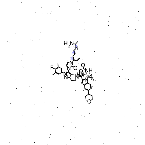 C=C\C(=C/C=C/N=C(/C)N)n1ccn(-c2c3c(nn2-c2cc(C)c(F)c(C)c2)CCN(C(=O)c2cc4cc(C5CCOCC5)ccc4n2[C@@]2(C4NOC(=O)N4)C[C@@H]2C)C3)c1=O